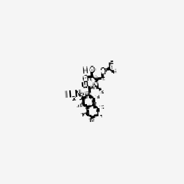 CC(C)OCC(C(=O)O)N(C)C(=O)c1cc2ccccc2cc1N